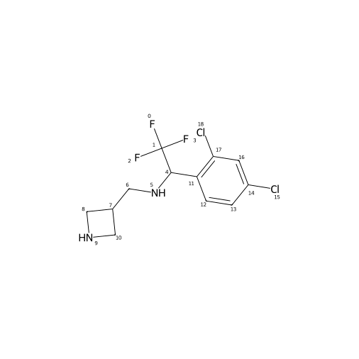 FC(F)(F)C(NCC1CNC1)c1ccc(Cl)cc1Cl